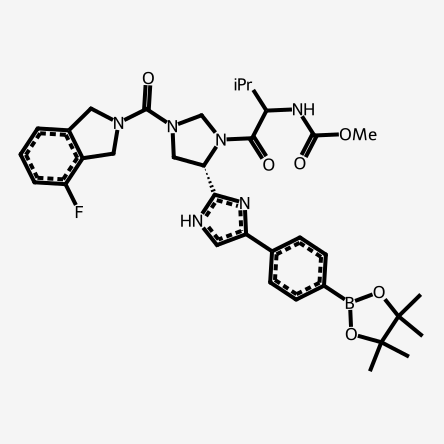 COC(=O)NC(C(=O)N1CN(C(=O)N2Cc3cccc(F)c3C2)C[C@H]1c1nc(-c2ccc(B3OC(C)(C)C(C)(C)O3)cc2)c[nH]1)C(C)C